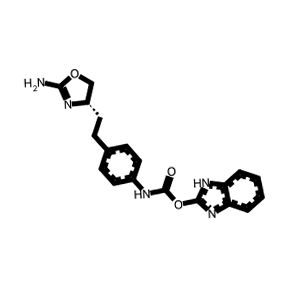 NC1=N[C@@H](CCc2ccc(NC(=O)Oc3nc4ccccc4[nH]3)cc2)CO1